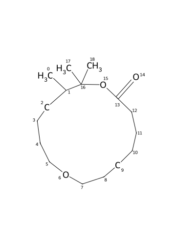 CC1CCCCOCCCCCCC(=O)OC1(C)C